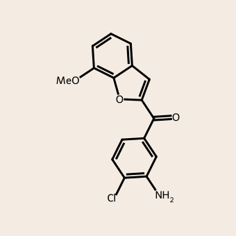 COc1cccc2cc(C(=O)c3ccc(Cl)c(N)c3)oc12